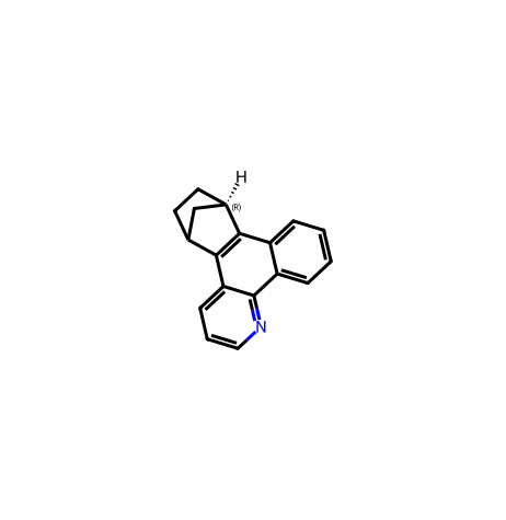 c1ccc2c(c1)c1c(c3cccnc32)C2CC[C@@H]1C2